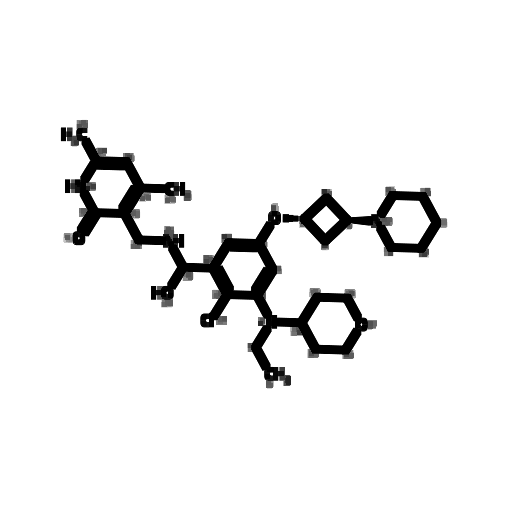 CCN(c1cc(O[C@H]2C[C@H](N3CCCCC3)C2)cc(C(O)NCc2c(C)cc(C)[nH]c2=O)c1Cl)C1CCOCC1